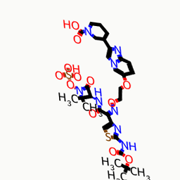 CC(C)(C)OC(=O)Nc1nc(/C(=N/OCCOc2ccc3nc(C4CCCN(C(=O)O)C4)cn3c2)C(=O)N[C@@H]2C(=O)N(OS(=O)(=O)O)C2(C)C)cs1